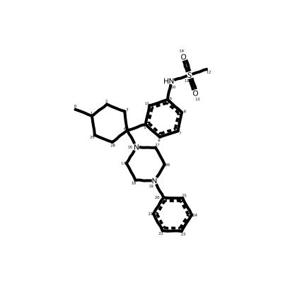 CC1CCC(c2cccc(NS(C)(=O)=O)c2)(N2CCN(c3ccccc3)CC2)CC1